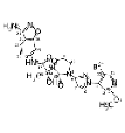 COc1cc(-n2ccc(N3CCO[C@H]([C@@](C)(O)C(=O)Nc4ccc5c(N)noc5c4)C3=O)n2)c(Br)cn1